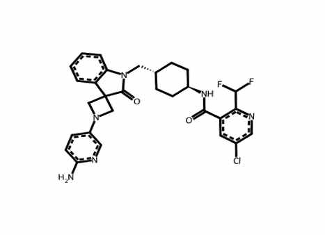 Nc1ccc(N2CC3(C2)C(=O)N(C[C@H]2CC[C@H](NC(=O)c4cc(Cl)cnc4C(F)F)CC2)c2ccccc23)cn1